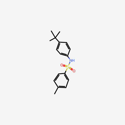 Cc1ccc(S(=O)(=O)Nc2ccc(C(C)(C)C)cc2)cc1